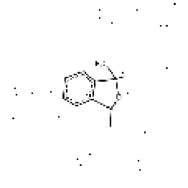 CC1OC(C)(C(F)(F)F)c2ccccc21